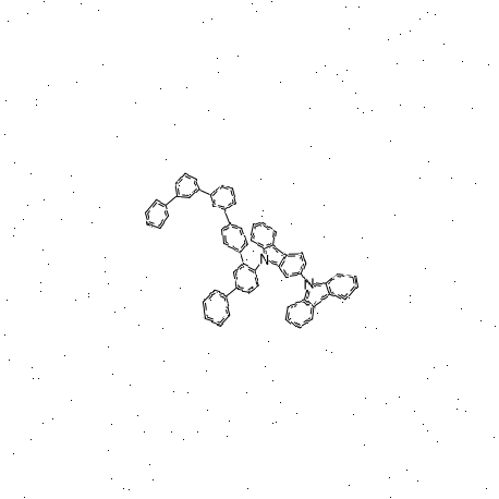 c1ccc(-c2cccc(-c3cccc(-c4ccc(-c5cc(-c6ccccc6)ccc5-n5c6ccccc6c6ccc(-n7c8ccccc8c8ccccc87)cc65)cc4)c3)c2)cc1